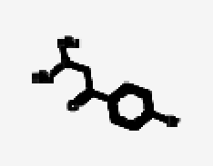 CCCCN(CCCC)CC(=O)c1ccc(Br)cc1